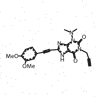 C#CCn1c(=O)c2[nH]c(C#Cc3ccc(OC)c(OC)c3)nc2n(N(C)C)c1=O